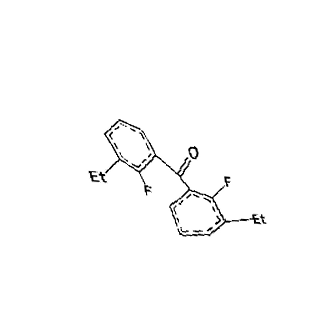 CCc1cccc(C(=O)c2cccc(CC)c2F)c1F